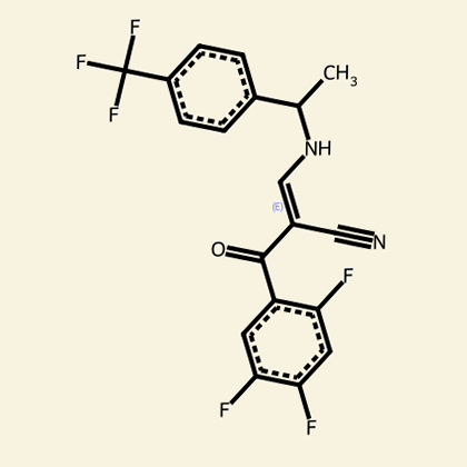 CC(N/C=C(\C#N)C(=O)c1cc(F)c(F)cc1F)c1ccc(C(F)(F)F)cc1